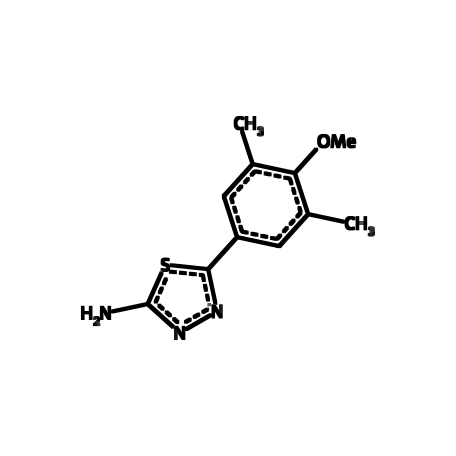 COc1c(C)cc(-c2nnc(N)s2)cc1C